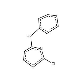 Clc1cccc(Pc2ccccc2)n1